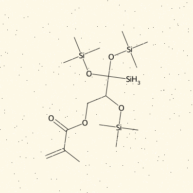 C=C(C)C(=O)OCC(O[Si](C)(C)C)C([SiH3])(O[Si](C)(C)C)O[Si](C)(C)C